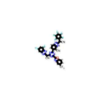 N#C/C(=C1\N=c2cc(F)cc(F)c2=N1)c1nc(-c2nc3cc(C(F)(F)F)ccc3o2)nc(-c2ccc3c(c2C#N)=N/C(=C(\C#N)c2c(F)c(F)c(F)c(F)c2F)N=3)n1